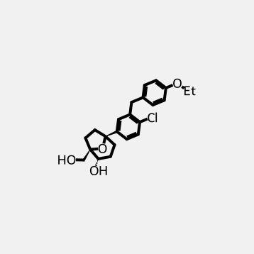 CCOc1ccc(Cc2cc([C@]34CC[C@H](O)[C@](CO)(CC3)O4)ccc2Cl)cc1